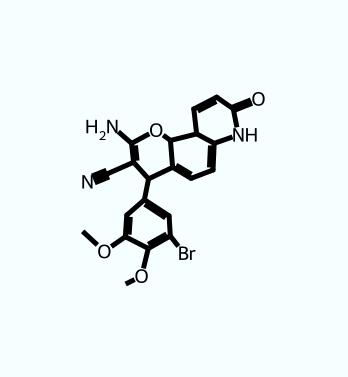 COc1cc(C2C3=CC=C4NC(=O)C=CC4C3OC(N)=C2C#N)cc(Br)c1OC